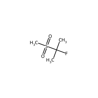 CC(C)(F)S(C)(=O)=O